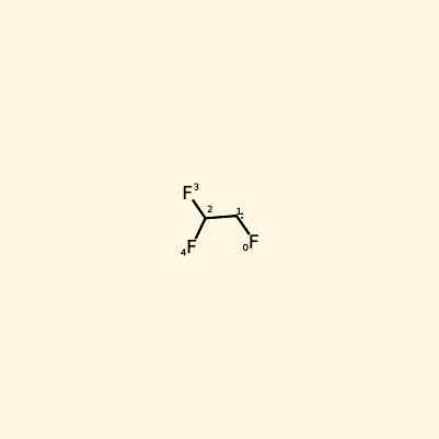 F[C]C(F)F